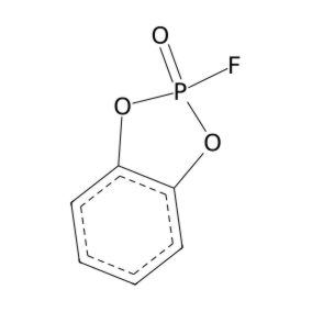 O=P1(F)Oc2ccccc2O1